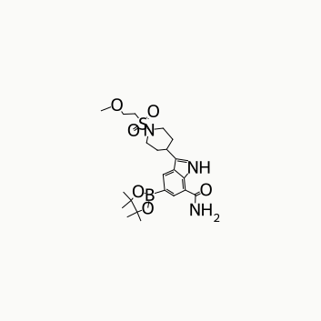 COCCS(=O)(=O)N1CCC(c2c[nH]c3c(C(N)=O)cc(B4OC(C)(C)C(C)(C)O4)cc23)CC1